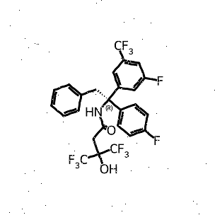 O=C(CC(O)(C(F)(F)F)C(F)(F)F)N[C@](Cc1ccccc1)(c1ccc(F)cc1)c1cc(F)cc(C(F)(F)F)c1